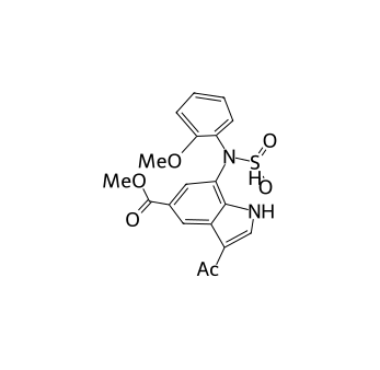 COC(=O)c1cc(N(c2ccccc2OC)[SH](=O)=O)c2[nH]cc(C(C)=O)c2c1